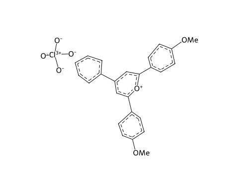 COc1ccc(-c2cc(-c3ccccc3)cc(-c3ccc(OC)cc3)[o+]2)cc1.[O-][Cl+3]([O-])([O-])[O-]